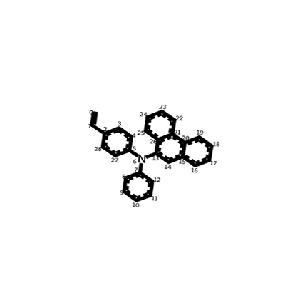 C=Cc1ccc(N(c2ccccc2)c2cc3ccccc3c3ccccc23)cc1